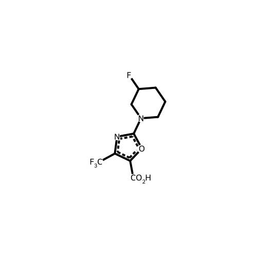 O=C(O)c1oc(N2CCCC(F)C2)nc1C(F)(F)F